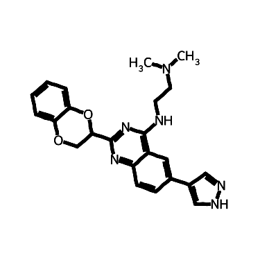 CN(C)CCNc1nc(C2COc3ccccc3O2)nc2ccc(-c3cn[nH]c3)cc12